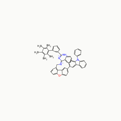 Bc1c(B)c(B)c(-c2cccc(/C(N)=N/C(=N\Cc3cccc4oc5ccc(-c6ccc7c(c6)c6ccccc6n7-c6ccccc6)cc5c34)c3ccccc3)c2)c(B)c1B